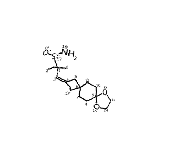 CC(C)(C=C1CC2(CCC3(CC2)OCCO3)C1)[S+](N)[O-]